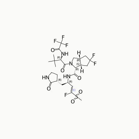 CC(C)(C)[C@@H](NC(=O)C(F)(F)F)C(=O)N1C[C@@H]2CC(F)(F)C[C@@H]2[C@@H]1C(=O)N[C@@H](/C=C(\F)S(C)(=O)=O)C[C@H]1CCNC1=O